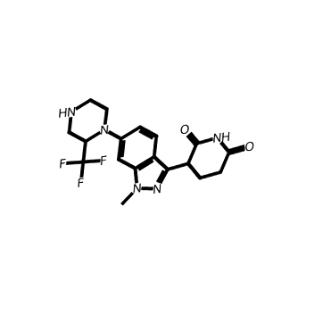 Cn1nc(C2CCC(=O)NC2=O)c2ccc(N3CCNCC3C(F)(F)F)cc21